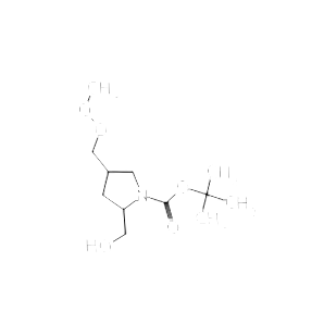 COOCC1CC(CO)N(C(=O)OC(C)(C)C)C1